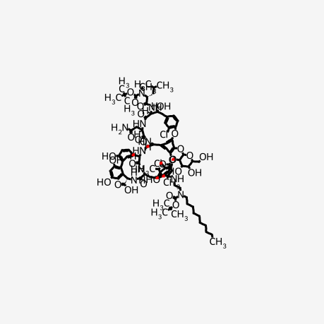 CCCCCCCCCCN(CCNC1(C)CC(OC2C(Oc3c4cc5cc3Oc3ccc(cc3Cl)[C@@H](O)[C@@H](NC(=O)[C@@H](CC(C)C)N(C)C(=O)OC(C)(C)C)C(=O)N[C@@H](CC(N)=O)C(=O)N[C@H]5C(=O)N[C@H]3C(=O)N[C@@H](Cc5ccc(c(Cl)c5)O4)C(=O)N[C@H](C(=O)O)c4cc(O)cc(O)c4-c4cc3ccc4O)OC(CO)C(O)C2O)OC(C)C1O)C(=O)OC(C)(C)C